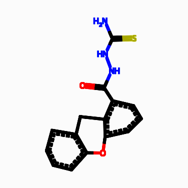 NC(=S)NNC(=O)c1cccc2c1Cc1ccccc1O2